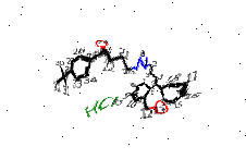 CN(CC/C=C1\c2ccccc2COc2ccccc21)CCCC(=O)c1ccc(C(C)(C)C)cc1.Cl